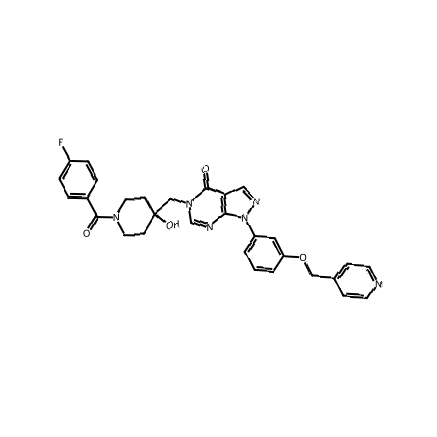 O=C(c1ccc(F)cc1)N1CCC(O)(Cn2cnc3c(cnn3-c3cccc(OCc4ccncc4)c3)c2=O)CC1